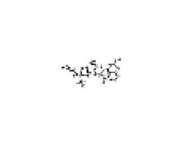 C=Cc1nc(-c2cc(C#N)c(N3CCN(C(=O)CCO)C(C4CC4)C3)nc2C2CC2)c2ccccc2n1